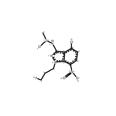 C[S+]([O-])Nc1nn(CCCF)c2c([N+](=O)[O-])ccc(Cl)c12